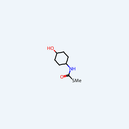 CSC(=O)NC1CCC(O)CC1